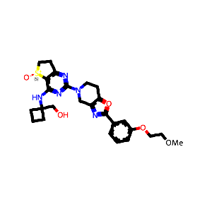 COCCOc1cccc(-c2nc3c(o2)CCN(c2nc4c(c(NC5(CO)CCC5)n2)[S@+]([O-])CC4)C3)c1